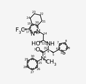 CN(C(=O)[C@H](Cc1cccs1)NC(O)Cn1nc(C(F)(F)F)c2c1CCCC2)c1ccccc1